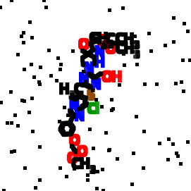 COC(=O)COc1cccc(-c2cn3ccc(Sc4nc(CO)c(N5CCC6(CC5)CO[C@@H](C)[C@H]6NC(=O)OC(C)(C)C)nc4C)c(Cl)c3n2)c1